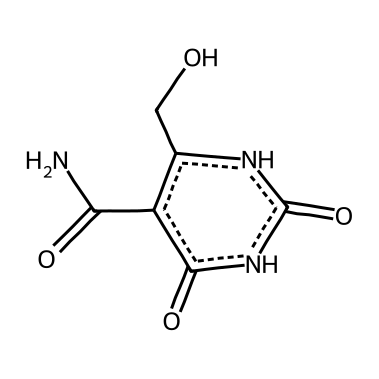 NC(=O)c1c(CO)[nH]c(=O)[nH]c1=O